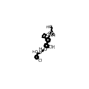 Cl.O=C(NS(=O)(=O)CCCO)c1ccc(-c2ccc(OCCNC[C@H](O)c3cccc(Cl)c3)cc2)cc1C1CCCC1